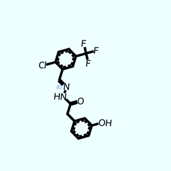 O=C(Cc1cccc(O)c1)N/N=C/c1cc(C(F)(F)F)ccc1Cl